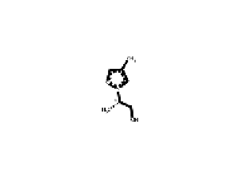 Cc1cnn([C@@H](C)CO)c1